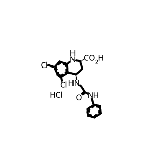 Cl.O=C(CN[C@@H]1C[C@@H](C(=O)O)Nc2cc(Cl)cc(Cl)c21)Nc1ccccc1